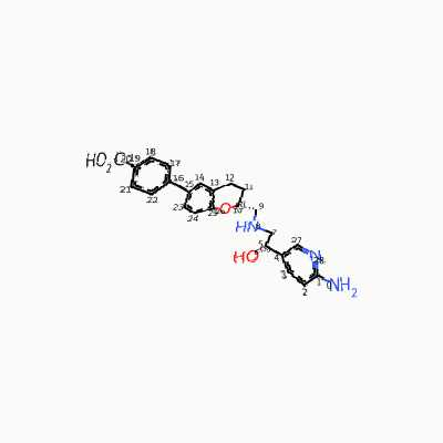 Nc1ccc([C@H](O)CNC[C@H]2CCc3cc(-c4ccc(C(=O)O)cc4)ccc3O2)cn1